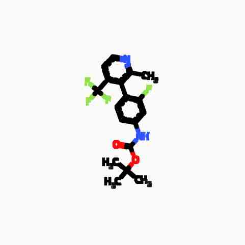 Cc1nccc(C(F)(F)F)c1-c1ccc(NC(=O)OC(C)(C)C)cc1F